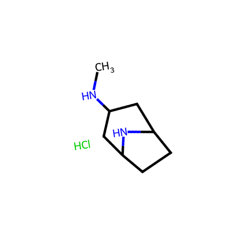 CNC1CC2CCC(C1)N2.Cl